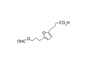 O=COCCCc1ccc(CCCC(=O)O)o1